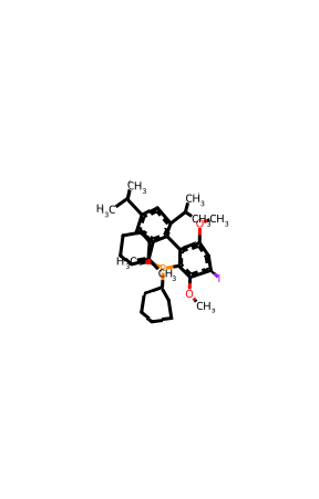 COc1cc(I)c(OC)c(P(C2CCCCC2)C2CCCCC2)c1-c1c(C(C)C)cc(C(C)C)cc1C(C)C